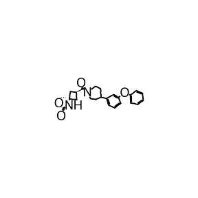 O=C1N[C@]2(CO1)C[C@H](C(=O)N1CCC(c3cccc(Oc4ccccc4)c3)CC1)C2